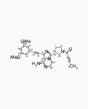 CC#CC(=O)N1CC[C@@H](c2nc(C#Cc3cc(OC)cc(OC)c3)c3c(N)nccn23)C1